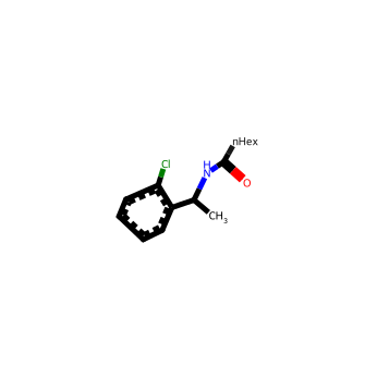 CCCCCCC(=O)NC(C)c1ccccc1Cl